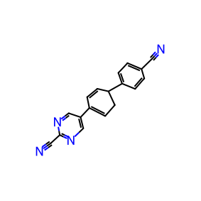 N#Cc1ccc(C2C=CC(c3cnc(C#N)nc3)=CC2)cc1